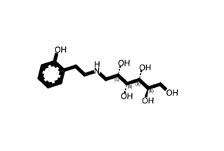 OC[C@@H](O)[C@@H](O)[C@H](O)[C@@H](O)CNCCc1ccccc1O